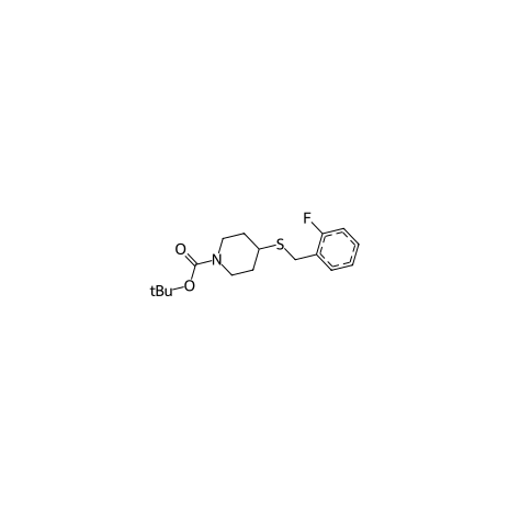 CC(C)(C)OC(=O)N1CCC(SCc2ccccc2F)CC1